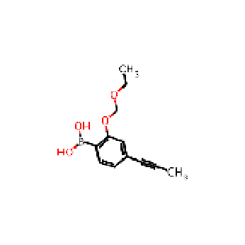 CC#Cc1ccc(B(O)O)c(OCOCC)c1